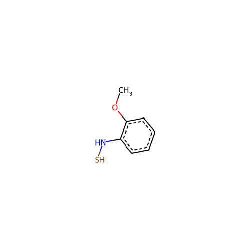 COc1ccccc1NS